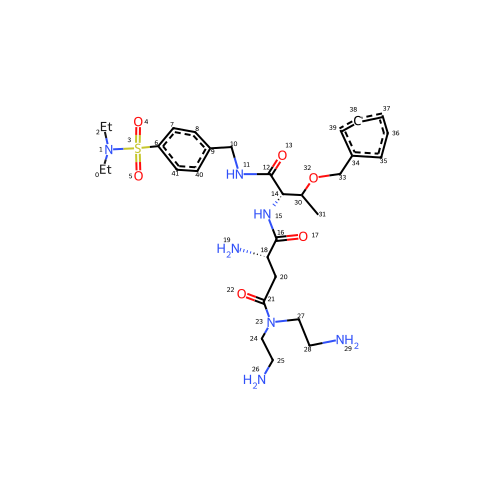 CCN(CC)S(=O)(=O)c1ccc(CNC(=O)[C@@H](NC(=O)[C@@H](N)CC(=O)N(CCN)CCN)C(C)OCc2ccccc2)cc1